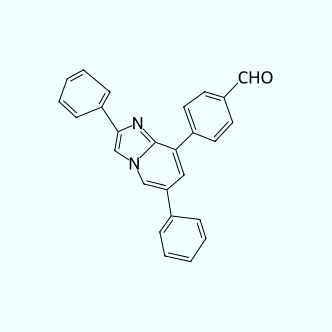 O=Cc1ccc(-c2cc(-c3ccccc3)cn3cc(-c4ccccc4)nc23)cc1